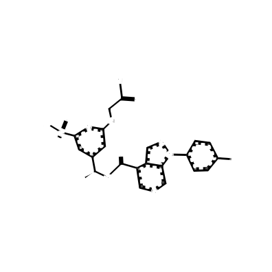 CC[C@H](NC(=O)c1cncc2c1cnn2-c1ccc(F)cc1)c1cc(NCC(N)=O)nc(S(C)(=O)=O)c1